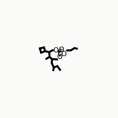 CCCCOP1(=O)OCC(CC(C)CC)C(C)C(C2CCC2)CO1